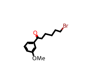 COc1cccc(C(=O)CCCCCBr)c1